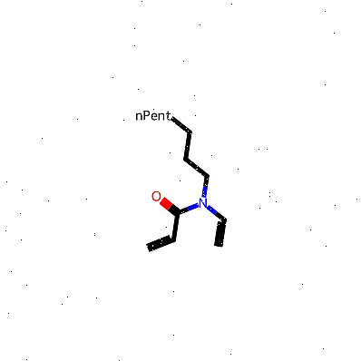 C=CC(=O)N(C=C)CCCCCCCC